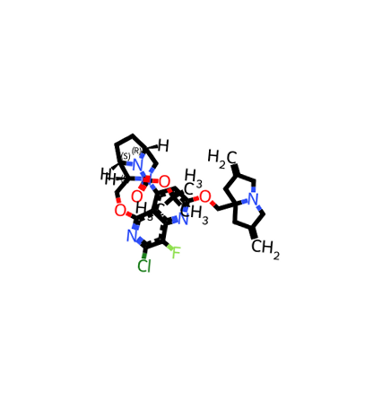 C=C1CN2CC(=C)CC2(COc2cc3c4c(nc(Cl)c(F)c4n2)OC[C@@H]2[C@@H]4CC[C@H](CN32)N4C(=O)OC(C)(C)C)C1